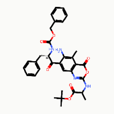 Cc1c(N)c(C(=O)[C@H](Cc2ccccc2)NC(=O)OCc2ccccc2)cc2nc(NC(C)C(=O)OC(C)(C)C)oc(=O)c12